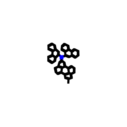 Cc1cc2cccc3c4cc(N(c5cc6ccccc6c6ccccc56)c5cc6ccccc6c6ccccc56)cc5cccc(c(c1)c23)c54